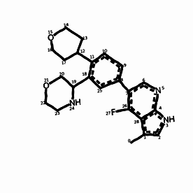 Cc1c[nH]c2ncc(-c3ccc(C4CCOCC4)c(C4COCCN4)c3)c(F)c12